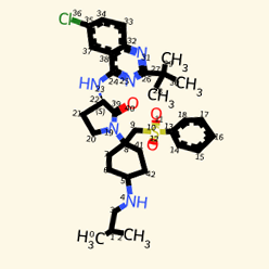 CC(C)CNC1CCC(CS(=O)(=O)c2ccccc2)(N2CC[C@H](Nc3nc(C(C)(C)C)nc4ccc(Cl)cc34)C2=O)CC1